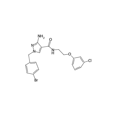 Nc1nn(Cc2ccc(Br)cc2)cc1C(=O)NCCOc1cccc(Cl)c1